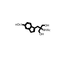 CCCCCCCCc1ccc2c(c1)CC=C2CC(CO)(CO)NC(C)=O